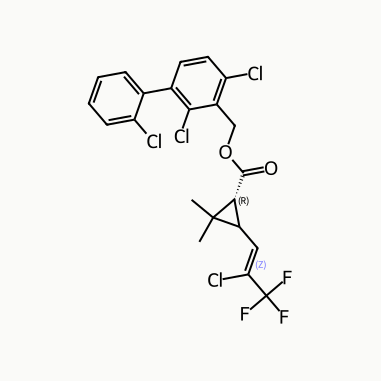 CC1(C)C(/C=C(\Cl)C(F)(F)F)[C@H]1C(=O)OCc1c(Cl)ccc(-c2ccccc2Cl)c1Cl